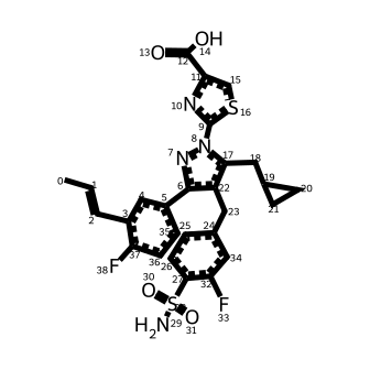 CC=Cc1cc(-c2nn(-c3nc(C(=O)O)cs3)c(CC3CC3)c2Cc2ccc(S(N)(=O)=O)c(F)c2)ccc1F